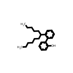 CCCCCCC(CCCCC)c1ccccc1-c1ccccc1O